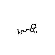 CC(=O)ONCCc1c[nH]c2ccccc12